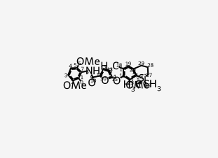 COc1cccc(OC)c1NC(=O)c1ccc(Oc2c(C)cc3c(c2OC)[Si](C)(C)CCC3)o1